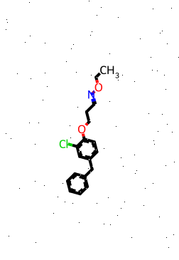 CCON=CCCOc1ccc(Cc2ccccc2)cc1Cl